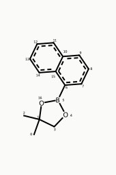 CC1(C)COB(c2cccc3ccccc23)O1